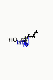 CC(C)=CCCC(C)=CCCC(C)=CCSCC(Nc1ncc[nH]1)C(=O)O